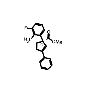 COC(=O)[C@]1(c2cccc(F)c2C)C=C(c2ccccc2)CC1